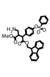 COC(=O)C(CN)C(C(=O)OCC1c2ccccc2-c2ccccc21)c1ccc(OS(=O)(=O)c2ccccc2)cc1